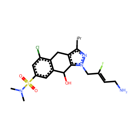 CC(C)c1nn(C/C(F)=C/CN)c2c1Cc1c(Cl)cc(S(=O)(=O)N(C)C)cc1C2O